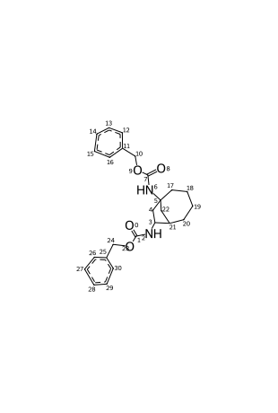 O=C(NC1CC2(NC(=O)OCc3ccccc3)CCCCC1C2)OCc1ccccc1